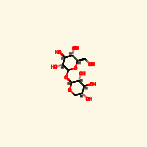 OC[C@H]1OC(O[C@@H]2OC[C@@H](O)[C@H](O)[C@H]2O)[C@H](O)[C@@H](O)[C@@H]1O